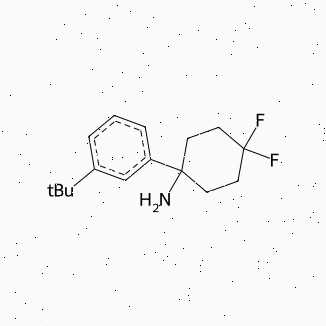 CC(C)(C)c1cccc(C2(N)CCC(F)(F)CC2)c1